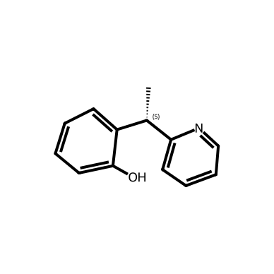 C[C@H](c1ccccn1)c1ccccc1O